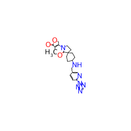 CC1=C(N2CCC3(CCC(NCc4ccc(-n5ncnn5)nc4)CC3)C2=O)COC1=O